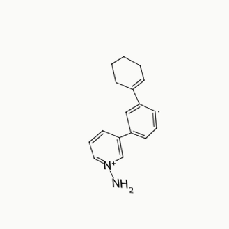 N[n+]1cccc(-c2cc[c]c(C3=CCCCC3)c2)c1